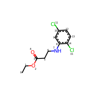 CCOC(=O)CCNc1cc(Cl)ccc1Cl